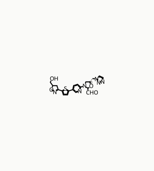 O=CC1O[C@@H](Cn2ccnn2)CN1c1ccc(-c2ccc(C3=NOC(CO)C3)s2)cn1